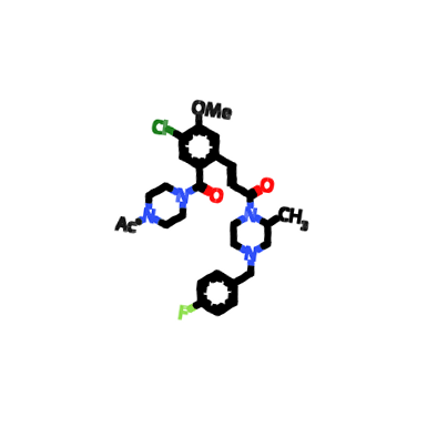 COc1cc(C=CC(=O)N2CCN(Cc3ccc(F)cc3)CC2C)c(C(=O)N2CCN(C(C)=O)CC2)cc1Cl